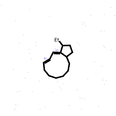 CCC1CCC2CCCCCC/C=C/C=C/12